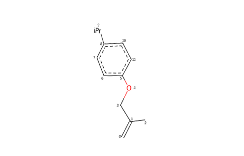 C=C(C)COc1ccc(C(C)C)cc1